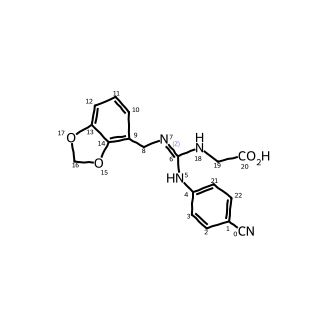 N#Cc1ccc(N/C(=N\Cc2cccc3c2OCO3)NCC(=O)O)cc1